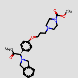 COC(=O)[C@H](c1ccc(OCCCN2CCN(C(=O)OC(C)(C)C)CC2)cc1)N1Cc2ccccc2C1